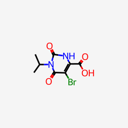 CC(C)n1c(=O)[nH]c(C(=O)O)c(Br)c1=O